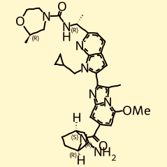 COc1cc(C(=O)N2[C@H]3CC[C@@H]2[C@H](N)C3)cc2nc(-c3cc4ccc([C@@H](C)NC(=O)N5CCO[C@H](C)C5)nc4n3CC3CC3)c(C)n12